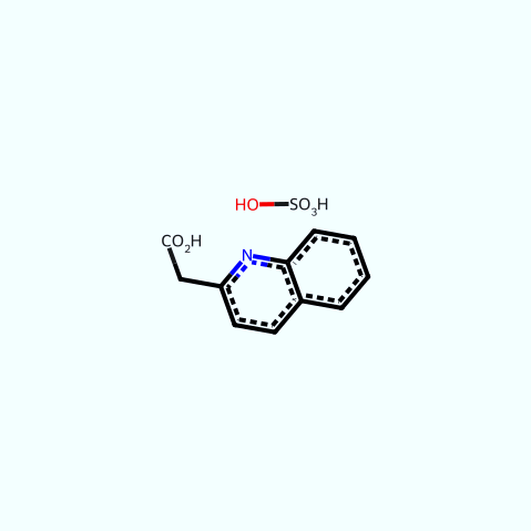 O=C(O)Cc1ccc2ccccc2n1.O=S(=O)(O)O